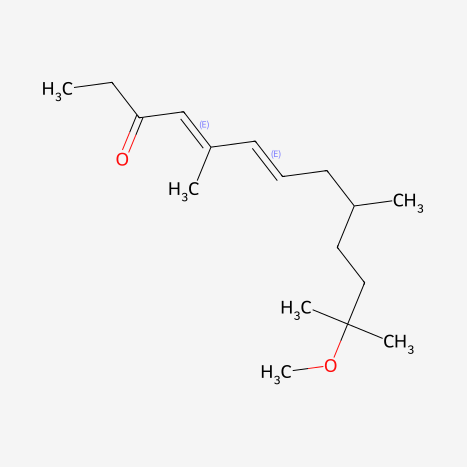 CCC(=O)/C=C(C)/C=C/CC(C)CCC(C)(C)OC